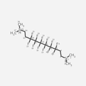 C[SiH](C)CCC(F)(F)C(F)(F)C(F)(F)C(F)(F)C(F)(F)C(F)(F)CC[SiH](C)C